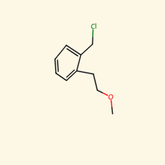 COCCc1ccccc1CCl